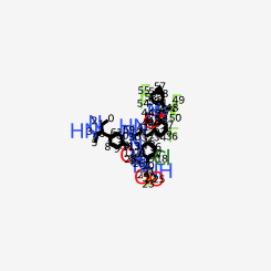 Cc1n[nH]c(C)c1-c1ccc2c(=O)n(-c3ccc(Cl)c4c(NS(C)(=O)=O)nn(C)c34)c([C@H](Cc3cc(F)cc(F)c3)NC(=O)Cn3nc(C(F)F)c4c3C(F)(F)C3CC43)nc2c1